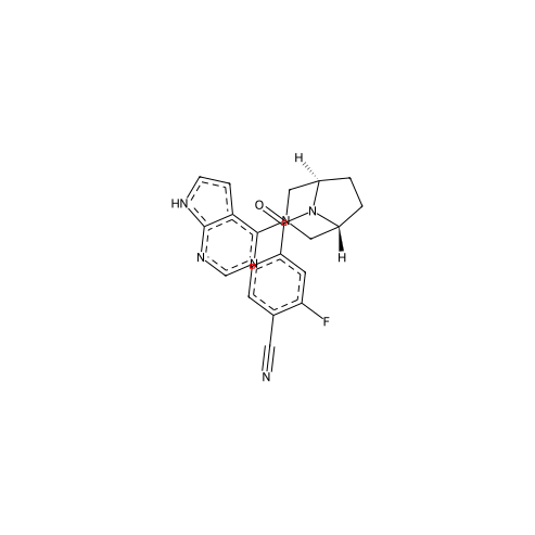 N#Cc1ccc(C(=O)N2[C@@H]3CC[C@@H]2CN(c2ncnc4[nH]ccc24)C3)cc1F